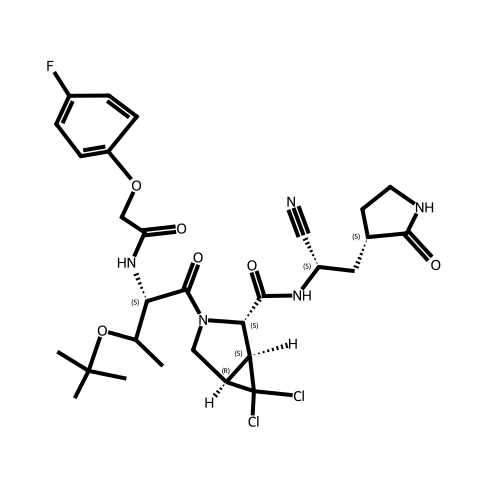 CC(OC(C)(C)C)[C@H](NC(=O)COc1ccc(F)cc1)C(=O)N1C[C@H]2[C@@H]([C@H]1C(=O)N[C@H](C#N)C[C@@H]1CCNC1=O)C2(Cl)Cl